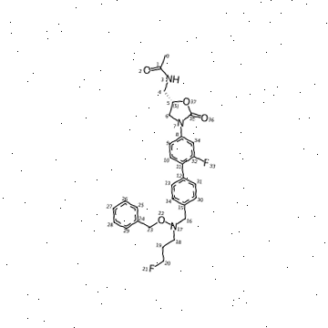 CC(=O)NC[C@H]1CN(c2ccc(-c3ccc(CN(CCCF)OCc4ccccc4)cc3)c(F)c2)C(=O)O1